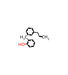 C=CCc1ccccc1.Cc1ccccc1O